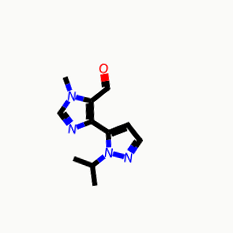 CC(C)n1nccc1-c1ncn(C)c1C=O